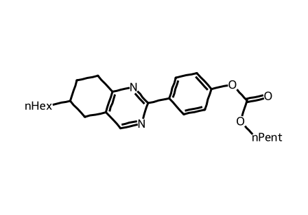 CCCCCCC1CCc2nc(-c3ccc(OC(=O)OCCCCC)cc3)ncc2C1